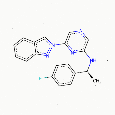 C[C@H](Nc1cncc(-n2cc3ccccc3n2)n1)c1ccc(F)cc1